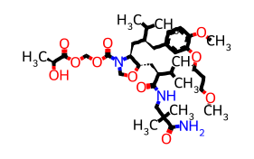 COCCCOc1cc(C[C@@H](C[C@H]2[C@H](C[C@H](C(=O)NCC(C)(C)C(N)=O)C(C)C)OCN2C(=O)OCOC(=O)[C@H](C)O)C(C)C)ccc1OC